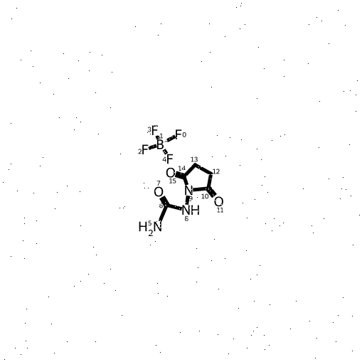 F[B-](F)(F)F.NC(=O)NN1C(=O)CCC1=O